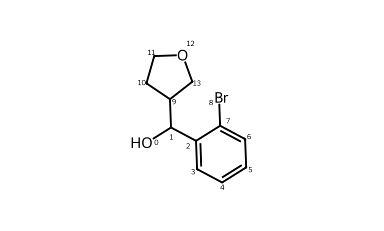 OC(c1ccccc1Br)C1CCOC1